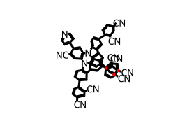 N#CC1=C(c2ccc3c(c2)c2cc(-c4ccc(C#N)cc4C#N)ccc2n3-c2cc(-c3ccncc3)c(C#N)cc2-n2c3ccc(-c4ccc(C#N)cc4C#N)cc3c3cc(-c4ccc(C#N)cc4C#N)ccc32)C=CC(C#N)C1